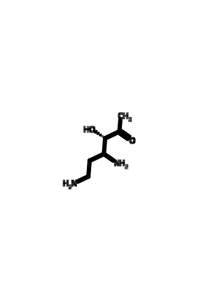 CC(=O)[C@@H](O)C(N)CCN